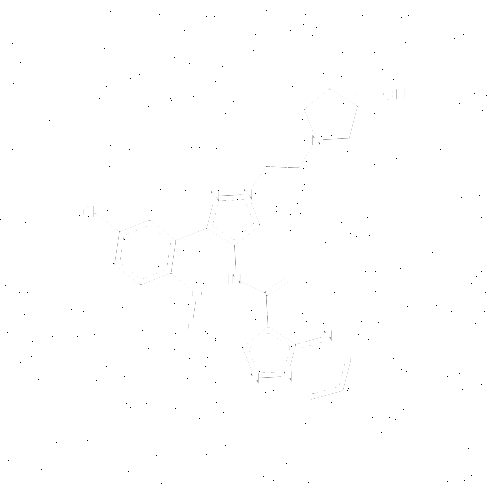 COc1ccc(Cl)cc1-c1nn(CCN2CC[C@H](O)C2)cc1NC(=O)c1cnn2cccnc12